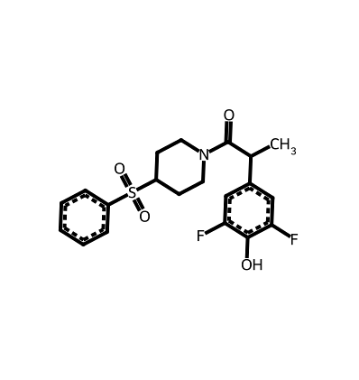 CC(C(=O)N1CCC(S(=O)(=O)c2ccccc2)CC1)c1cc(F)c(O)c(F)c1